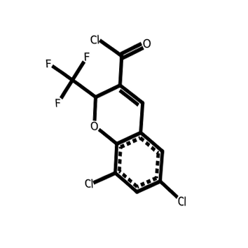 O=C(Cl)C1=Cc2cc(Cl)cc(Cl)c2OC1C(F)(F)F